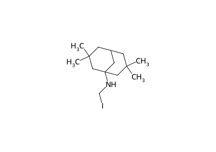 CC1(C)CC2CC(C)(C)CC(NCI)(C2)C1